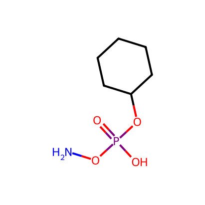 NOP(=O)(O)OC1CCCCC1